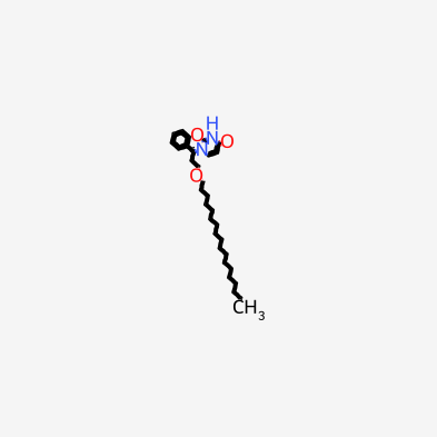 CCCCCCCCCCCCCCCCCCOCC[C](c1ccccc1)n1ccc(=O)[nH]c1=O